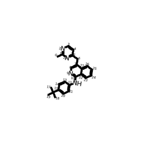 Cc1nccc(Cc2cnc(Nc3ccc(C(C)(C)C)cc3)c3ccccc23)n1